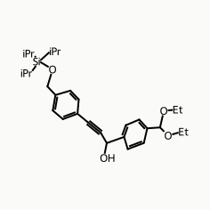 CCOC(OCC)c1ccc(C(O)C#Cc2ccc(CO[Si](C(C)C)(C(C)C)C(C)C)cc2)cc1